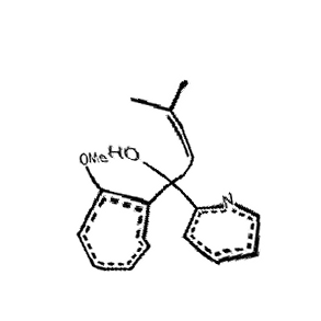 COc1ccccc1C(O)(C=C(C)C)c1ccccn1